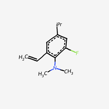 C=Cc1cc(C(C)C)cc(F)c1N(C)C